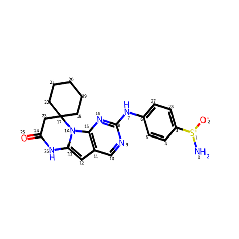 N[S+]([O-])c1ccc(Nc2ncc3cc4n(c3n2)C2(CCCCC2)CC(=O)N4)cc1